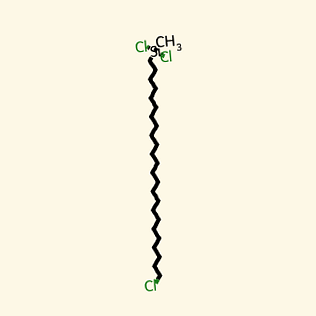 C[Si](Cl)(Cl)CCCCCCCCCCCCCCCCCCCCCCCCCl